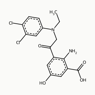 CCN(CC(=O)c1cc(O)cc(C(=O)O)c1N)c1ccc(Cl)c(Cl)c1